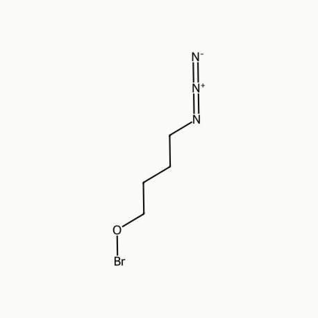 [N-]=[N+]=NCCCCOBr